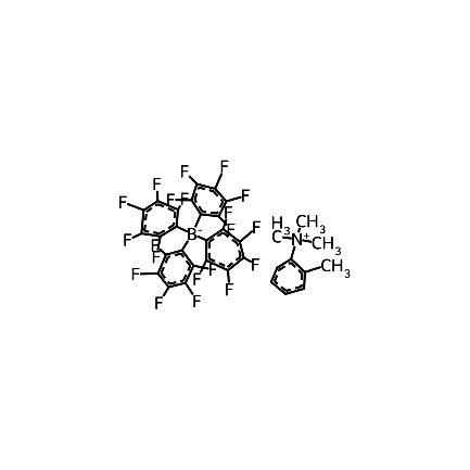 Cc1ccccc1[N+](C)(C)C.Fc1c(F)c(F)c([B-](c2c(F)c(F)c(F)c(F)c2F)(c2c(F)c(F)c(F)c(F)c2F)c2c(F)c(F)c(F)c(F)c2F)c(F)c1F